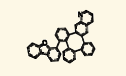 c1ccc2c(c1)-c1cc3cccnc3cc1-c1cccc(-c3cccc4c3oc3ccccc34)c1-c1ccccc1-2